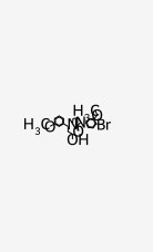 COc1cccc(C(CCO)N2CCN(c3ccc(Br)c(OC)c3)C2=O)c1